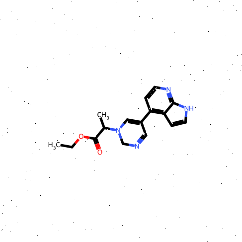 CCOC(=O)C(C)N1C=C(c2ccnc3[nH]ccc23)C=NC1